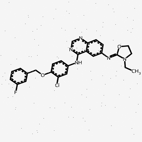 CCN1CCO/C1=N\c1ccc2ncnc(Nc3ccc(OCc4cccc(F)c4)c(Cl)c3)c2c1